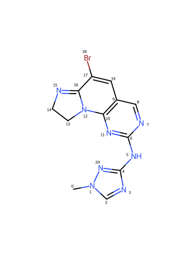 Cn1cnc(Nc2ncc3c(n2)N2CCN=C2C(Br)=C3)n1